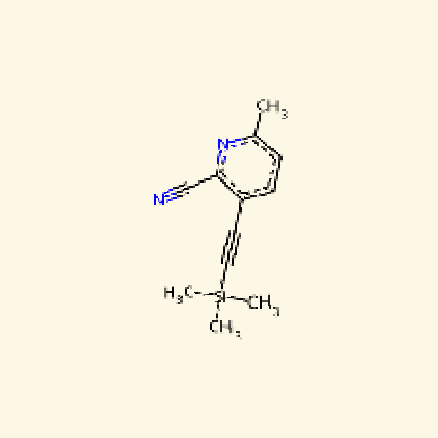 Cc1ccc(C#C[Si](C)(C)C)c(C#N)n1